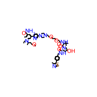 C/C=C(/C=C(\C=C\N(CC)C(C)CCOC)c1ccc(N2CCN(CCOCCOCC(=O)N[C@H](C(=O)N3C[C@H](O)C[C@H]3C(=O)NCc3ccc(-c4scnc4C)cc3)C(C)(C)C)CC2)cn1)C(N)=O